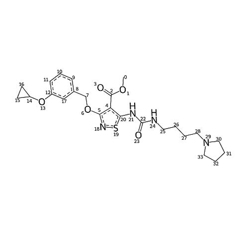 COC(=O)c1c(OCc2cccc(OC3CC3)c2)nsc1NC(=O)NCCCCN1CCCC1